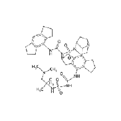 CN(C)CC(C)(C)NS(=O)(=O)NC(=O)Nc1c2c(c(C3C4CCN3CCN4S(=O)(=O)NC(=O)Nc3c4c(cc5c3CCC5)CCC4)c3c1CCC3)CCC2